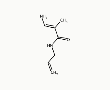 C=CCNC(=O)C(C)=CN